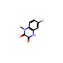 Cn1c(=O)c(=O)[nH]c2cc(Cl)ccc21